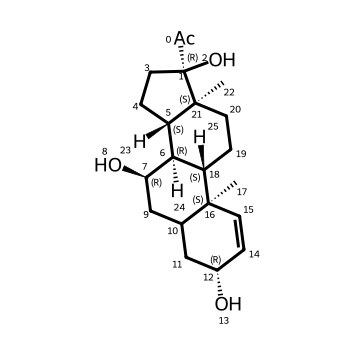 CC(=O)[C@@]1(O)CC[C@H]2[C@@H]3[C@H](O)CC4C[C@@H](O)C=C[C@]4(C)[C@H]3CC[C@@]21C